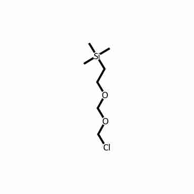 C[Si](C)(C)CCOCOCCl